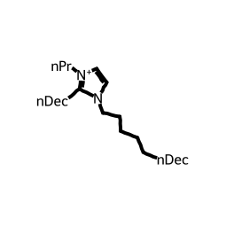 CCCCCCCCCCCCCCCn1cc[n+](CCC)c1CCCCCCCCCC